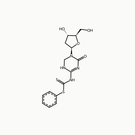 O=C1N=C(NC(=S)Sc2ccccc2)NCN1[C@H]1C[C@H](O)[C@@H](CO)O1